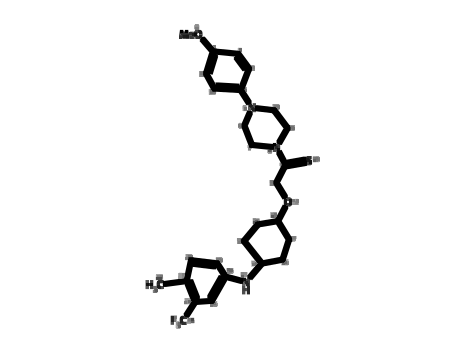 COc1ccc(N2CCN(C(=S)COC3CCC(Nc4ccc(C)c(C(F)(F)F)c4)CC3)CC2)cc1